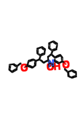 ON=C(CC(c1ccccc1)c1ccc(OCc2ccccc2)cc1)CC(c1ccccc1)c1ccc(OCc2ccccc2)cc1